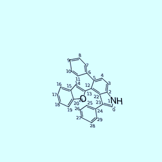 [c]1[nH]c2ccc(-c3ccccc3)c(-c3cc4ccccc4o3)c2c1-c1ccccc1